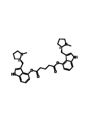 CN1CCC[C@@H]1Cc1c[nH]c2cccc(OC(=O)CCCC(=O)Oc3cccc4[nH]cc(C[C@H]5CCCN5C)c34)c12